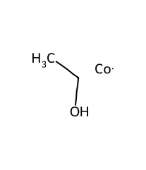 CCO.[Co]